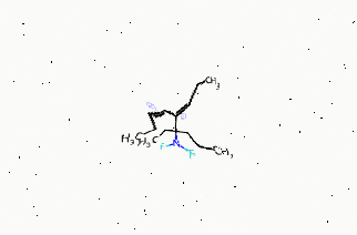 CC/C=C\C(=C/CC)C(CC)(CCC)N(F)F